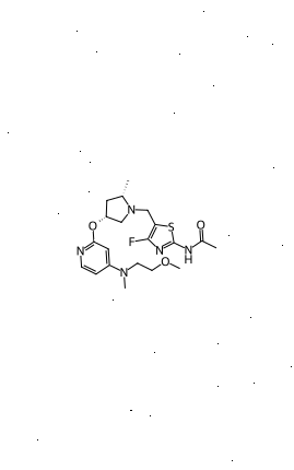 COCCN(C)c1ccnc(O[C@@H]2C[C@H](C)N(Cc3sc(NC(C)=O)nc3F)C2)c1